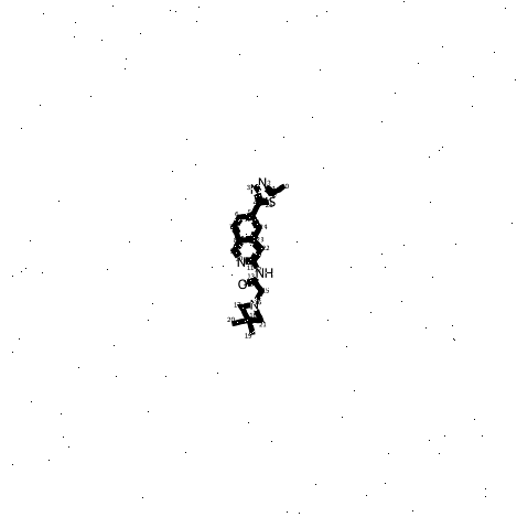 Cc1nnc(-c2ccc3cnc(NC(=O)CN4CC(C)(C)C4)cc3c2)s1